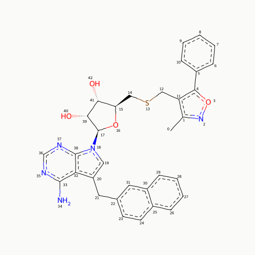 Cc1noc(-c2ccccc2)c1CSC[C@H]1O[C@@H](n2cc(Cc3ccc4ccccc4c3)c3c(N)ncnc32)[C@H](O)[C@@H]1O